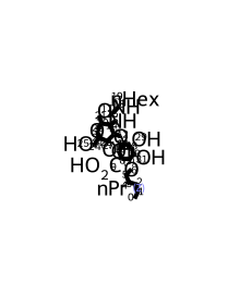 C/C=C\C(CCC)CO[C@@H]1C(C(=O)O)O[C@@H](OC2C(NC(=O)NCCCCCC)C(C)OC(CO)[C@H]2O)C(O)C1O